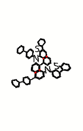 c1ccc(-c2ccc(-c3ccc(N(c4ccccc4-c4ccccc4N(c4ccc(-c5ccccc5)cc4)c4cccc5c4sc4ccccc45)c4cccc5c4sc4ccccc45)cc3)cc2)cc1